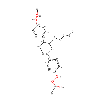 CCCCCC1CC(c2ccc(OOC(C)=O)cc2)CCC1C1=CCC(OOC)C=C1